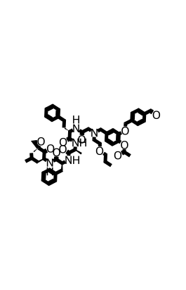 CCCOCCN(CC(=O)N[C@@H](CCc1ccccc1)C(=O)N[C@@H](C)C(=O)N[C@@H](Cc1ccccc1)C(=O)N[C@@H](CC(C)C)C(=O)[C@@]1(C)CO1)Cc1ccc(OC(C)=O)c(OCc2ccc(C=O)cc2)c1